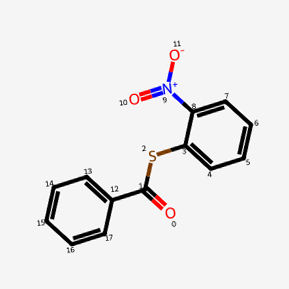 O=C(Sc1ccccc1[N+](=O)[O-])c1ccccc1